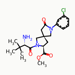 COC(=O)[C@@H]1C[C@]2(CC(=O)N(c3cccc(Cl)c3)C2)CN1C(=O)[C@@H](N)C(C)(C)C